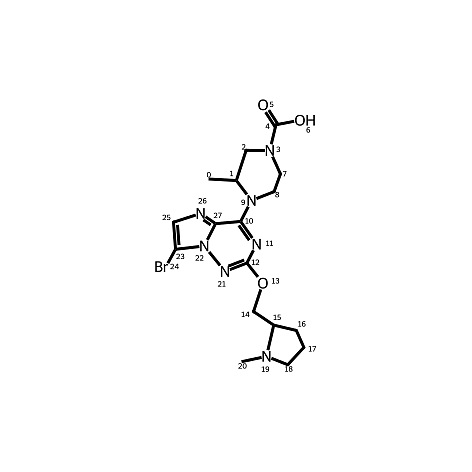 CC1CN(C(=O)O)CCN1c1nc(OCC2CCCN2C)nn2c(Br)cnc12